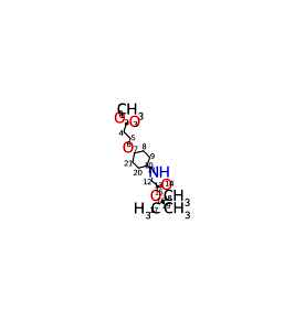 COC(=O)CCOC1CCC(NCC(=O)OC(C)(C)C)CC1